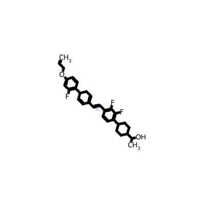 C=CCOc1ccc(C2C=CC(/C=C/c3ccc(C4CCC(C(C)O)CC4)c(F)c3F)=CC2)c(F)c1